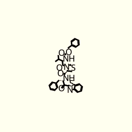 CC(C)[C@H](NC(=O)OCc1ccccc1)C(=O)N1CSC[C@H]1C(=O)N[C@@H](Cc1ccccc1)C(=O)c1nc2ccccc2s1